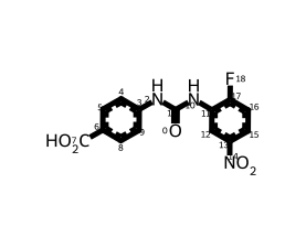 O=C(Nc1ccc(C(=O)O)cc1)Nc1cc([N+](=O)[O-])ccc1F